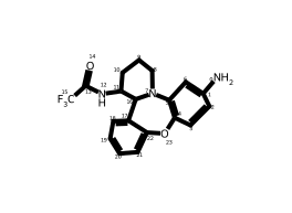 Nc1ccc2c(c1)N1CCCC(NC(=O)C(F)(F)F)C1c1ccccc1O2